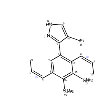 C/C=C\c1cc(-c2n[nH]cc2C(C)C)c(/C=C\C)c(NC)c1NC